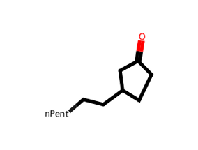 CCCCCCCC1CCC(=O)C1